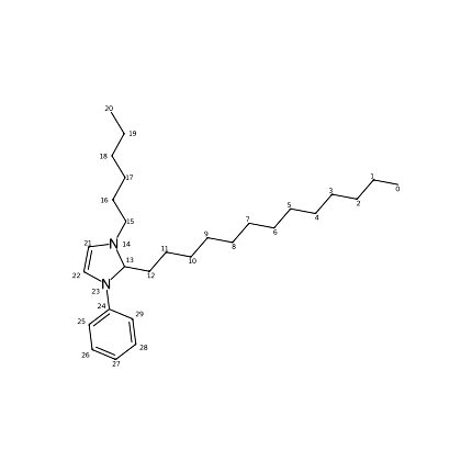 CCCCCCCCCCCCCC1N(CCCCCC)C=CN1c1ccccc1